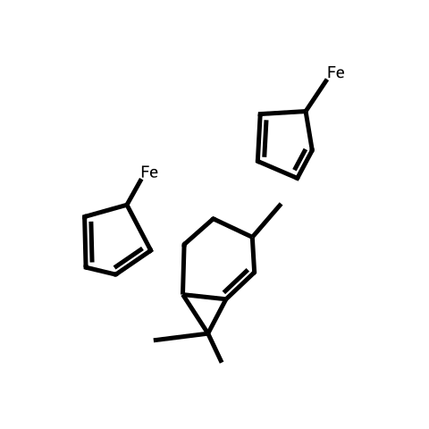 CC1C=C2C(CC1)C2(C)C.[Fe][CH]1C=CC=C1.[Fe][CH]1C=CC=C1